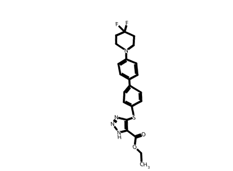 CCOC(=O)c1[nH]nnc1Sc1ccc(-c2ccc(N3CCC(F)(F)CC3)cc2)cc1